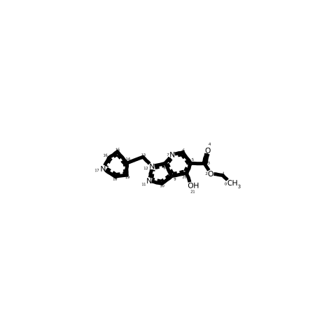 CCOC(=O)c1cnc2c(cnn2Cc2ccncc2)c1O